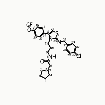 O=C(CN1CCCC1)NCCCn1c(-c2ccc(OC(F)(F)F)cc2)cs/c1=N\Cc1ccc(Cl)cc1